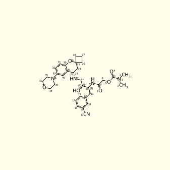 CN(C)C(=O)OCC(=O)N[C@@H](Cc1cccc(C#N)c1)[C@@H](O)CN[C@H]1CC2(CCC2)Oc2ccc(N3CCOCC3)cc21